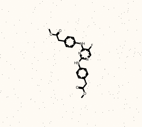 COC(=O)Cc1ccc(Nc2ncc(F)c(Nc3ccc(CC(=O)OC)cc3)n2)cc1